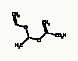 C=COC(C)OC(=C)C(=O)O